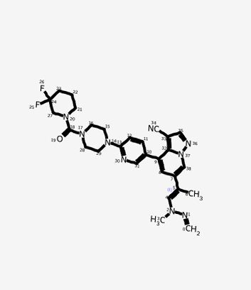 C=NN(C)/C=C(\C)c1cc(-c2ccc(N3CCN(C(=O)N4CCCC(F)(F)C4)CC3)nc2)c2c(C#N)cnn2c1